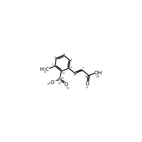 Cc1cccc(/C=C/C(=O)O)c1[N+](=O)[O-]